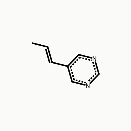 C/C=C/c1cncnc1